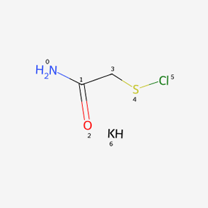 NC(=O)CSCl.[KH]